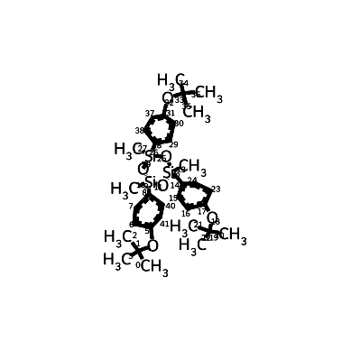 CC(C)(C)Oc1ccc([Si]2(C)O[Si](C)(c3ccc(OC(C)(C)C)cc3)O[Si](C)(c3ccc(OC(C)(C)C)cc3)O2)cc1